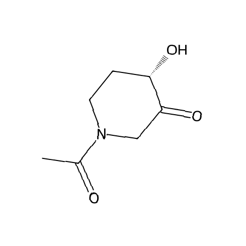 CC(=O)N1CC[C@H](O)C(=O)C1